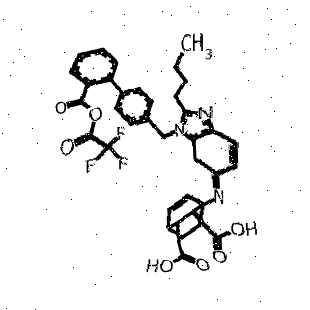 CCCCc1nc2c(n1Cc1ccc(-c3ccccc3C(=O)OC(=O)C(F)(F)F)cc1)CC(=NC13C=CC(CC1)C(C(=O)O)C3C(=O)O)C=C2